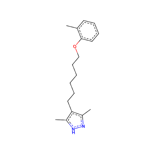 Cc1ccccc1OCCCCCCc1c(C)n[nH]c1C